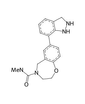 CNC(=O)N1CCOc2ccc(-c3cccc4c3NNC4)cc2C1